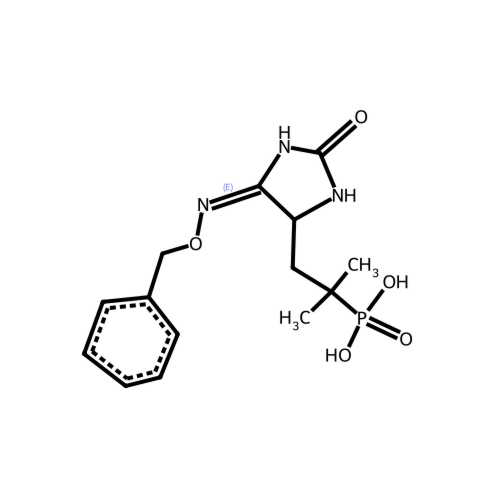 CC(C)(CC1NC(=O)N/C1=N/OCc1ccccc1)P(=O)(O)O